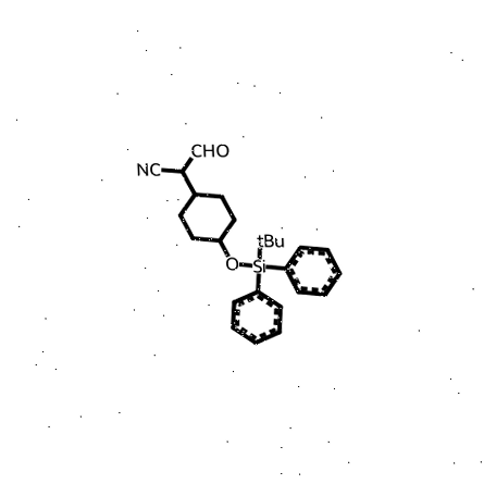 CC(C)(C)[Si](OC1CCC(C(C#N)C=O)CC1)(c1ccccc1)c1ccccc1